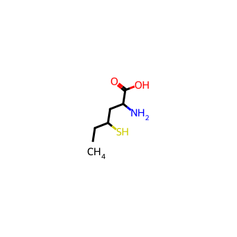 C.CCC(S)CC(N)C(=O)O